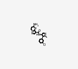 Cn1ncc(NC(=O)c2cnn3ccc(N)nc23)c1-c1cccc(Cl)c1